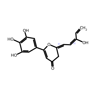 C=C/C(O)=C\C=C1/CC(=O)C=C(c2cc(O)c(O)c(O)c2)O1